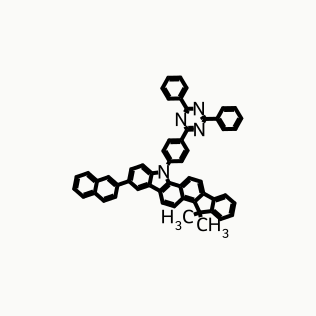 CC1(C)c2ccccc2-c2ccc3c(ccc4c5cc(-c6ccc7ccccc7c6)ccc5n(-c5ccc(-c6nc(-c7ccccc7)nc(-c7ccccc7)n6)cc5)c34)c21